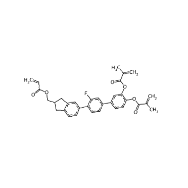 C=CC(=O)OCC1Cc2ccc(-c3ccc(-c4ccc(OC(=O)C(=C)C)c(OC(=O)C(=C)C)c4)cc3F)cc2C1